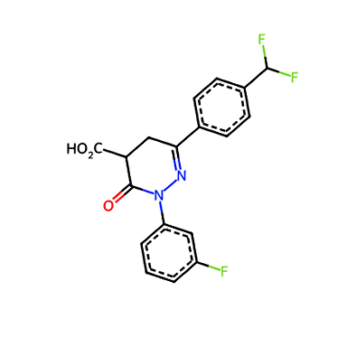 O=C(O)C1CC(c2ccc(C(F)F)cc2)=NN(c2cccc(F)c2)C1=O